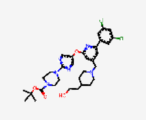 CC(C)(C)OC(=O)N1CCN(c2ncc(Oc3cc(CN4CCC(CCO)CC4)cc(-c4cc(Cl)cc(Cl)c4)n3)cn2)CC1